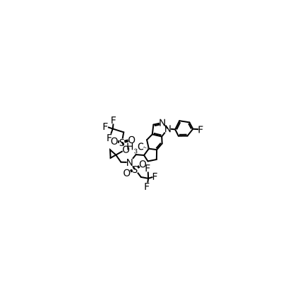 C[C@]12Cc3cnn(-c4ccc(F)cc4)c3C=C1CCC2CN(CC1(OS(=O)(=O)CC(F)(F)F)CC1)S(=O)(=O)CC(F)(F)F